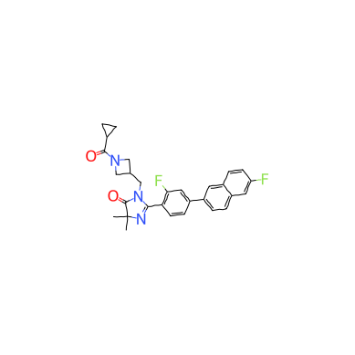 CC1(C)N=C(c2ccc(-c3ccc4cc(F)ccc4c3)cc2F)N(CC2CN(C(=O)C3CC3)C2)C1=O